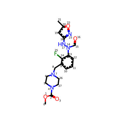 COC(=O)N1CCN(Cc2cccc(N(C=O)Nc3cc(C)on3)c2F)CC1